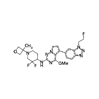 COc1nc(NC2CCN(C3(C)COC3)CC2(F)F)nn2ccc(-c3ccc4nnn(CCF)c4c3)c12